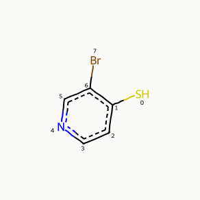 Sc1ccncc1Br